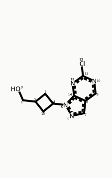 OCC1CC(n2ncc3cnc(Cl)nc32)C1